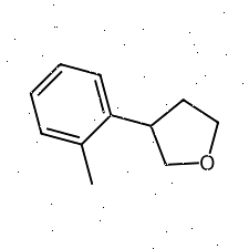 Cc1ccccc1C1CCOC1